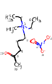 CC[N+](C)(CC)CCCC(C)=O.O=[N+]([O-])[O-]